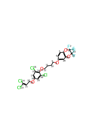 FC1(F)Oc2ccc(OCCCCOc3c(Cl)cc(OCC=C(Cl)Cl)cc3Cl)cc2OC1(F)F